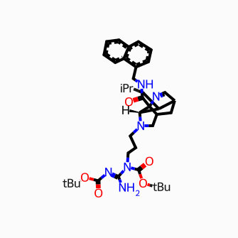 CC(C)CC1C2C=NC3(C(=O)NCc4cccc5ccccc45)C(C2)CN(CCCN(C(=O)OC(C)(C)C)C(N)=NC(=O)OC(C)(C)C)[C@@H]13